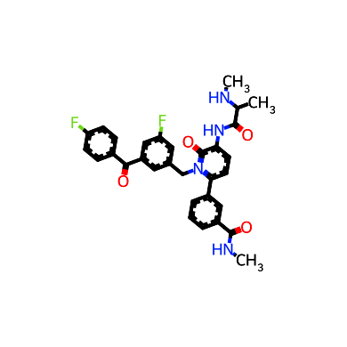 CNC(=O)c1cccc(-c2ccc(NC(=O)C(C)NC)c(=O)n2Cc2cc(F)cc(C(=O)c3ccc(F)cc3)c2)c1